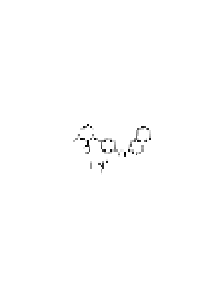 CNCc1cc(N2CC=CN(C)C2=O)ccc1Oc1ccc2ccccc2c1